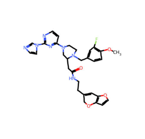 COc1ccc(CN2CCN(c3ccnc(-n4ccnc4)n3)CC2CC(=O)NCCC2=Cc3occc3OC2)cc1F